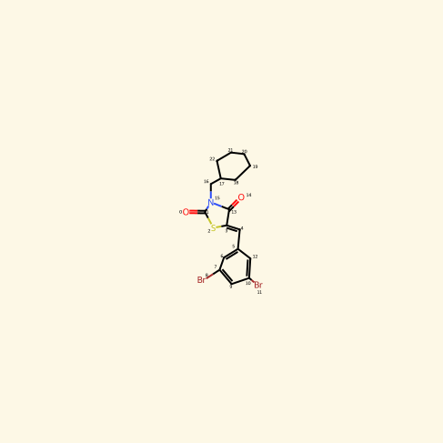 O=C1S/C(=C\c2cc(Br)cc(Br)c2)C(=O)N1CC1CCCCC1